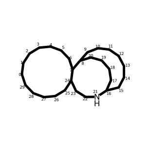 C1CCCCCCC2C3CCCCCCCC(CCCC3)NCCC2CCCCC1